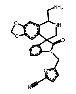 N#Cc1ccc(CN2C(=O)C3(CNC(CN)c4cc5c(cc43)OCO5)c3ccccc32)o1